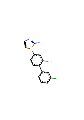 NC1=NC=C[SH]1c1ccc(-c2cccc(Cl)c2)c(C(F)(F)F)c1